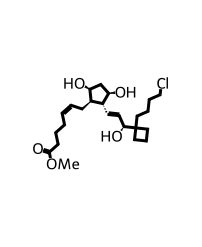 COC(=O)CCC/C=C\C[C@@H]1[C@@H](/C=C/[C@@H](O)C2(CCCCCl)CCC2)[C@H](O)C[C@@H]1O